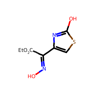 CCOC(=O)C(=NO)c1csc(O)n1